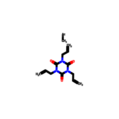 C=CCn1c(=O)n(CC=C)c(=O)n(CC=C)c1=O.CC(C)=O